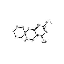 Nc1nc(O)c2c(n1)CC1(CCCCC1)OC2